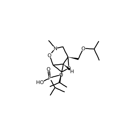 CC(C)OC[C@@]12CN(C)OC([C@H](C(C)C)O1)[C@H]2OP(=O)(O)C(C)C